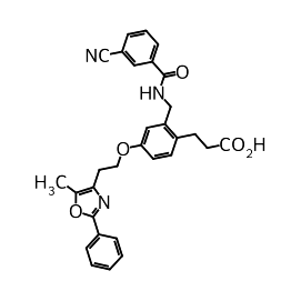 Cc1oc(-c2ccccc2)nc1CCOc1ccc(CCC(=O)O)c(CNC(=O)c2cccc(C#N)c2)c1